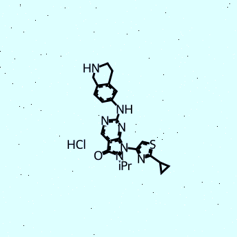 CC(C)n1c(=O)c2cnc(Nc3ccc4c(c3)CCNC4)nc2n1-c1csc(C2CC2)n1.Cl